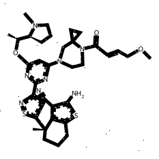 COC/C=C/C(=O)N1CCN(c2cc(O[C@@H](C)[C@@H]3CCCN3C)nc(-c3cc([C@@]4(C)CCCc5sc(N)c(C#N)c54)sn3)n2)CC12CC2